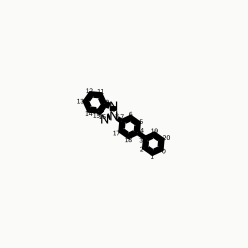 c1ccc(-c2ccc(-n3nc4ccccc4n3)cc2)cc1